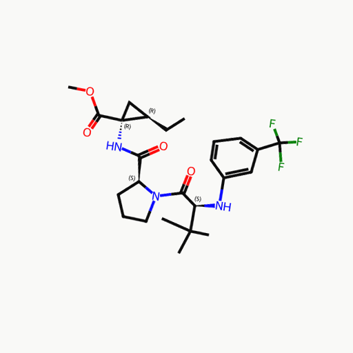 CC[C@@H]1C[C@]1(NC(=O)[C@@H]1CCCN1C(=O)[C@@H](Nc1cccc(C(F)(F)F)c1)C(C)(C)C)C(=O)OC